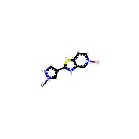 Cn1cc(-c2nc3c[n+]([O-])ccc3s2)cn1